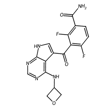 NC(=O)c1ccc(F)c(C(=O)c2c[nH]c3ncnc(NC4COC4)c23)c1F